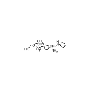 C#CCOCC(C)(C)NC(=O)c1ccc(C(N)NCNc2ccccc2)cc1